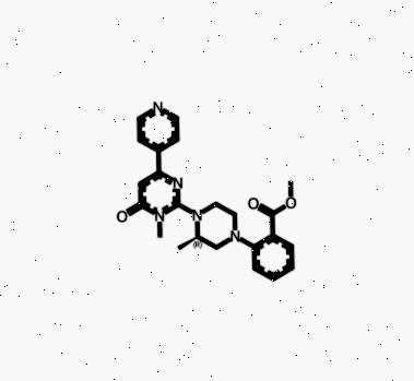 COC(=O)c1ccccc1N1CCN(c2nc(-c3ccncc3)cc(=O)n2C)[C@H](C)C1